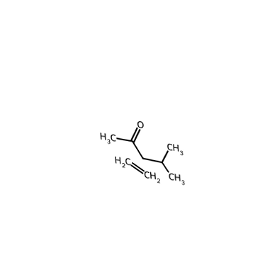 C=C.CC(=O)CC(C)C